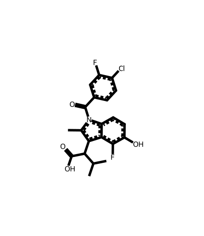 Cc1c(C(C(=O)O)C(C)C)c2c(F)c(O)ccc2n1C(=O)c1ccc(Cl)c(F)c1